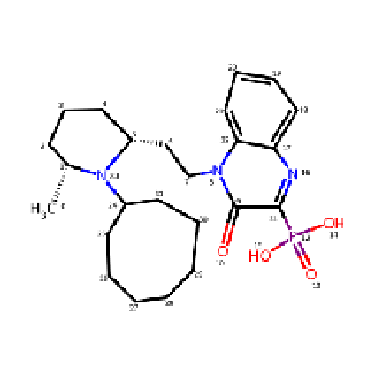 C[C@@H]1CCC[C@H](CCn2c(=O)c(P(=O)(O)O)nc3ccccc32)N1C1CCCCCCC1